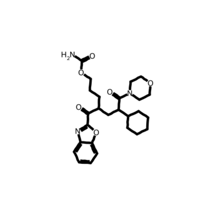 NC(=O)OCCCC(CC(C(=O)N1CCOCC1)C1CCCCC1)C(=O)c1nc2ccccc2o1